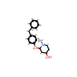 CCN1CCC(O)CC1Oc1ccc(Cc2ccccc2)cc1